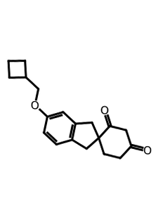 O=C1CCC2(Cc3ccc(OCC4CCC4)cc3C2)C(=O)C1